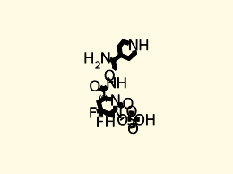 NC(CONC(=O)[C@@H]1CC(F)(F)[C@@H]2CN1C(=O)N2OS(=O)(=O)O)C1CCNCC1